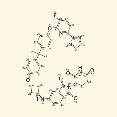 CC(C)(c1ccc(Oc2nc(-n3nccn3)ccc2F)cc1)c1ccc(O[C@H]2C[C@H](Nc3ccc4c(c3)C(=O)N(C3CCC(=O)NC3=O)C4=O)C2)cc1